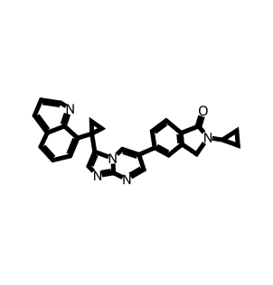 O=C1c2ccc(-c3cnc4ncc(C5(c6cccc7cccnc67)CC5)n4c3)cc2CN1C1CC1